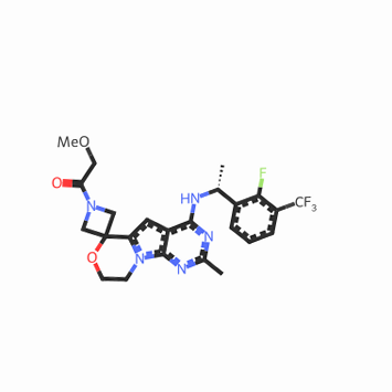 COCC(=O)N1CC2(C1)OCCn1c2cc2c(N[C@H](C)c3cccc(C(F)(F)F)c3F)nc(C)nc21